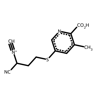 C#[N+]C(C#N)CCSc1cnc(C(=O)O)c(C)c1